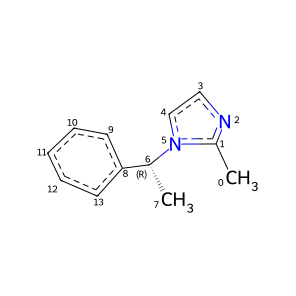 Cc1nccn1[C@H](C)c1ccccc1